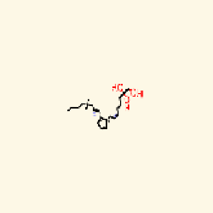 CCCCC(C)(C)C/C=C/[C@H]1CCC[C@@H]1C/C=C\CCCC(O)(O)CO